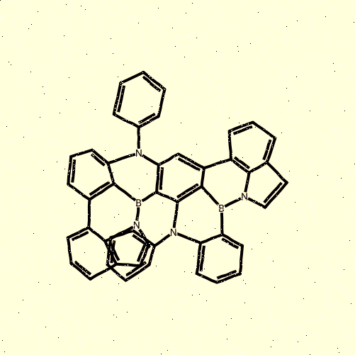 c1ccc(N2c3cccc4c3B(c3c2cc2c5c3N(c3ccccc3)c3ccccc3B5n3ccc5cccc-2c53)n2ccc3cccc-4c32)cc1